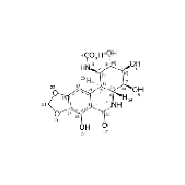 O=C(O)N[C@H]1[C@H](O)[C@@H](O)[C@@H](O)[C@@H]2NC(=O)c3c(cc4c(c3O)OCO4)[C@@H]12